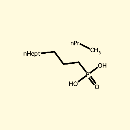 CCCC.CCCCCCCCCCP(=O)(O)O